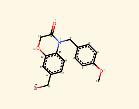 COc1ccc(CN2C(=O)COc3cc(CBr)ccc32)cc1